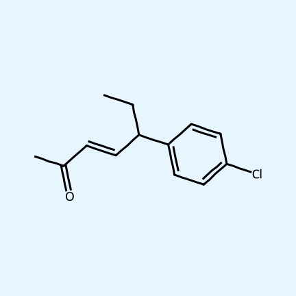 CCC(C=CC(C)=O)c1ccc(Cl)cc1